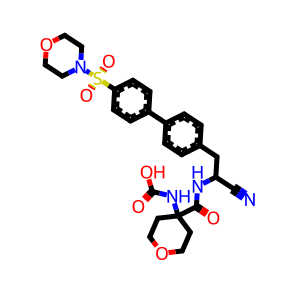 N#CC(Cc1ccc(-c2ccc(S(=O)(=O)N3CCOCC3)cc2)cc1)NC(=O)C1(NC(=O)O)CCOCC1